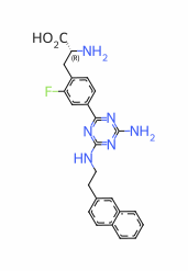 Nc1nc(NCCc2ccc3ccccc3c2)nc(-c2ccc(C[C@@H](N)C(=O)O)c(F)c2)n1